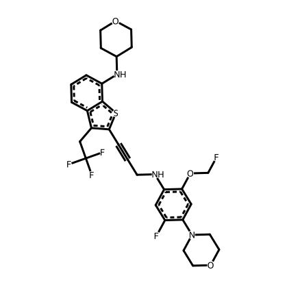 FCOc1cc(N2CCOCC2)c(F)cc1NCC#Cc1sc2c(NC3CCOCC3)cccc2c1CC(F)(F)F